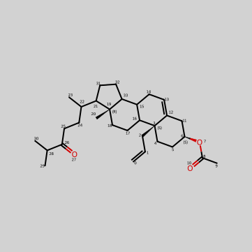 C=CC[C@]12CC[C@H](OC(C)=O)CC1=CCC1C2CC[C@]2(C)C(C(C)CCC(=O)C(C)C)CCC12